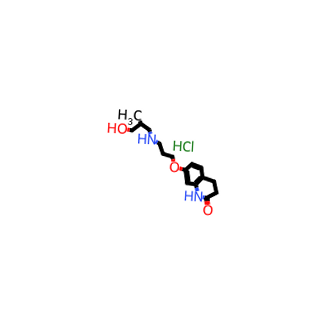 CC(CO)CNCCCOc1ccc2c(c1)NC(=O)CC2.Cl